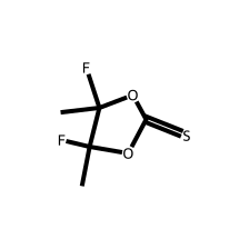 CC1(F)OC(=S)OC1(C)F